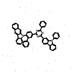 c1ccc(-c2nc(-c3ccc(-n4c5ccccc5c5cc6ccccc6cc54)c(-c4ccccc4)c3)nc(-c3ccc4c5ccccc5n(-c5ccccc5)c4c3)n2)cc1